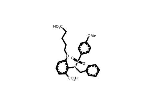 COc1ccc(S(=O)(=O)N(Cc2ccccc2)c2c(OCCCCC(=O)O)cccc2C(=O)O)cc1